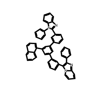 c1ccc(-c2nc3ccccn3c2-c2cccc(-c3cc(-c4cccc(-c5nc6ccccc6n5-c5ccccc5)c4)cc(-c4cccc5ccccc45)c3)c2)cc1